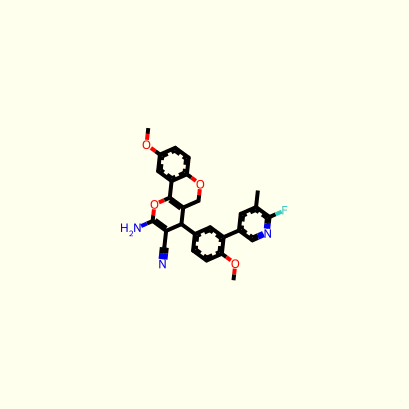 COc1ccc2c(c1)C1=C(CO2)C(c2ccc(OC)c(-c3cnc(F)c(C)c3)c2)C(C#N)=C(N)O1